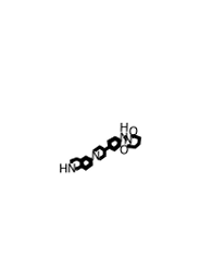 O=C1CCCC(=O)N1Nc1ccc(C2CCN(c3ccc4c(c3)CCNC4)CC2)cc1